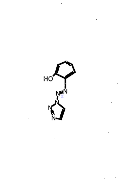 Oc1ccccc1/N=N/n1ccnn1